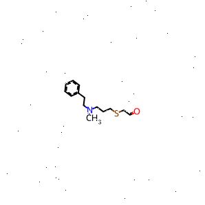 CN(CCCSCC=O)CCc1ccccc1